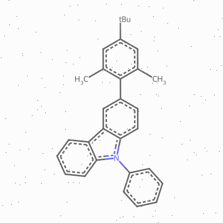 Cc1cc(C(C)(C)C)cc(C)c1-c1ccc2c(c1)c1ccccc1n2-c1ccccc1